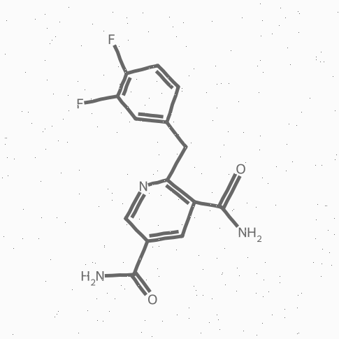 NC(=O)c1cnc(Cc2ccc(F)c(F)c2)c(C(N)=O)c1